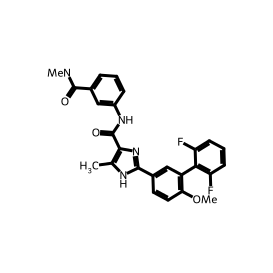 CNC(=O)c1cccc(NC(=O)c2nc(-c3ccc(OC)c(-c4c(F)cccc4F)c3)[nH]c2C)c1